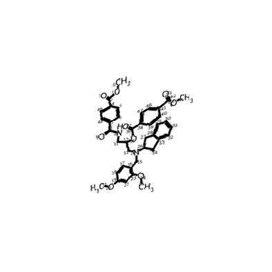 COC(=O)c1ccc(C(=O)NCC(CN(Cc2ccc(OC)cc2OC)C2Cc3ccccc3C2)OC(=O)c2ccc(C(=O)OC)cc2)cc1